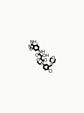 Nc1noc2cc(NC(=O)C(O)C3OCCN(c4ccc(Cl)c(CN5CCOCC5)c4)C3=O)ccc12